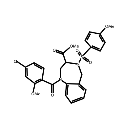 COC(=O)C1CN(C(=O)c2ccc(Cl)cc2OC)c2ccccc2CN1S(=O)(=O)c1ccc(OC)cc1